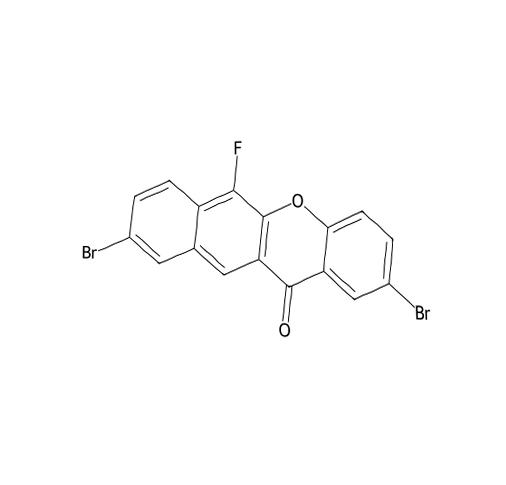 O=c1c2cc(Br)ccc2oc2c(F)c3ccc(Br)cc3cc12